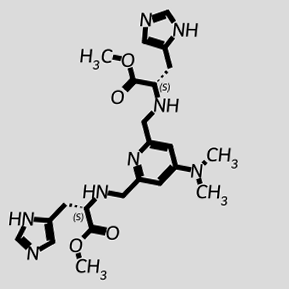 COC(=O)[C@H](Cc1cnc[nH]1)NCc1cc(N(C)C)cc(CN[C@@H](Cc2cnc[nH]2)C(=O)OC)n1